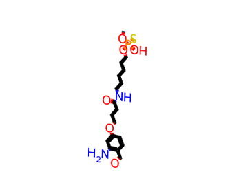 COP(O)(=S)OCCCCCCNC(=O)CCCOc1ccc(C=O)c(N)c1